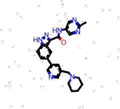 Cc1ncc(NC(=O)c2n[nH]c3ccc(-c4cncc(CN5CCCCC5)c4)cc23)cn1